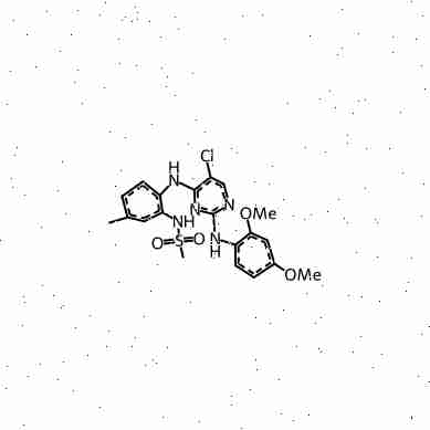 COc1ccc(Nc2ncc(Cl)c(Nc3ccc(C)cc3NS(C)(=O)=O)n2)c(OC)c1